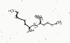 CCCCCC(=N)SSC(=N)CCCC